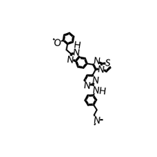 COc1ccccc1Cc1nc2ccc(-c3nc4sccn4c3-c3ccnc(Nc4cccc(CCN(C)C)c4)n3)cc2[nH]1